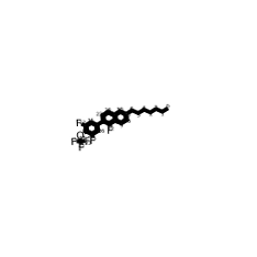 CCCCCCCc1ccc2c(F)c(-c3cc(F)c(OC(F)(F)F)c(F)c3)ccc2c1